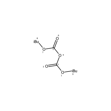 CCC(C)OC(=O)OC(=O)OC(C)CC